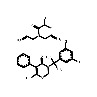 C=CCN(CC=C)C(=O)C(Cl)Cl.CC1=C(c2ccccc2)C(=O)N(C(C)(C)c2cc(Cl)cc(Cl)c2)CO1